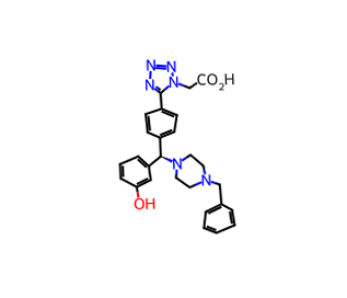 O=C(O)Cn1nnnc1-c1ccc([C@H](c2cccc(O)c2)N2CCN(Cc3ccccc3)CC2)cc1